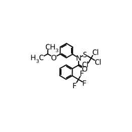 CC(C)Oc1cccc(N(SC(Cl)(Cl)Cl)C(=O)c2ccccc2C(F)(F)F)c1